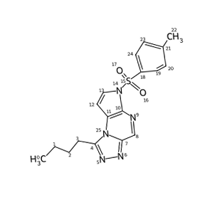 CCCCc1nnc2cnc3c(ccn3S(=O)(=O)c3ccc(C)cc3)n12